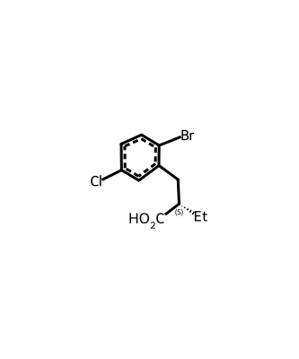 CC[C@@H](Cc1cc(Cl)ccc1Br)C(=O)O